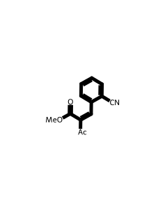 COC(=O)C(=Cc1ccccc1C#N)C(C)=O